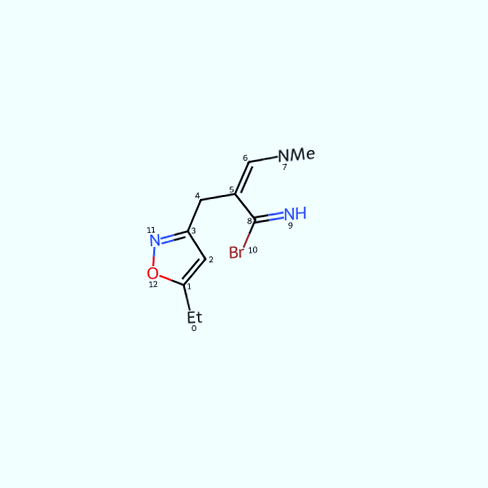 CCc1cc(C/C(=C/NC)C(=N)Br)no1